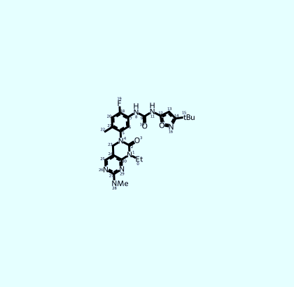 CCN1C(=O)N(c2cc(NC(=O)Nc3cc(C(C)(C)C)no3)c(F)cc2C)Cc2cnc(NC)nc21